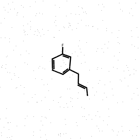 C/C=C/Cc1cccc(F)c1